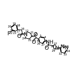 O=C(Nc1ccc(S(=O)(=O)C2CCN(C(=O)Cc3cccc(F)c3)CC2)cc1)C1CN(c2cccnn2)C1